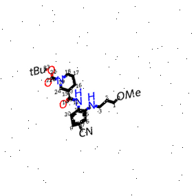 COCCCNc1cc(C#N)ccc1NC(=O)[C@@H]1CCCN(C(=O)OC(C)(C)C)C1